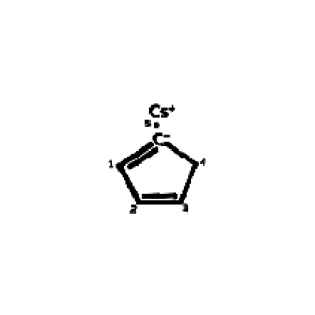 [C-]1=CC=CC1.[Cs+]